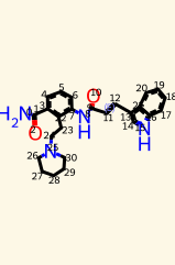 NC(=O)c1cccc(NC(=O)/C=C/c2c[nH]c3ccccc23)c1CCN1CCCCC1